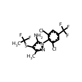 Cc1nn(-c2c(Cl)cc(C(F)(F)F)cc2Cl)c(N)c1SC(C)(F)F